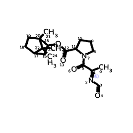 C/C(=N\C=O)C(=O)N1CCCC1C(=O)OC1CC2CCC1(C)C2(C)C